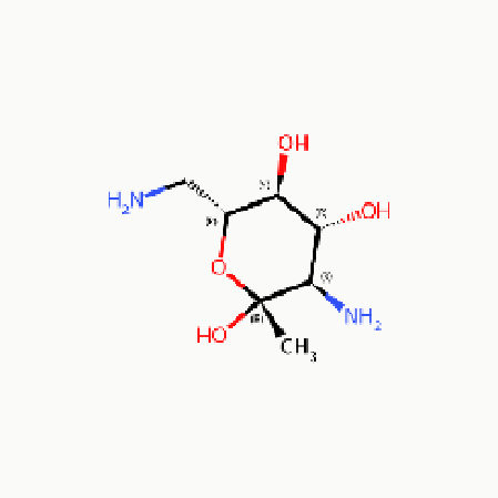 C[C@@]1(O)O[C@H](CN)[C@@H](O)[C@H](O)[C@H]1N